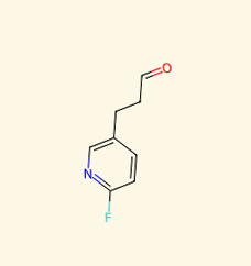 O=CCCc1ccc(F)nc1